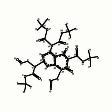 CC(C)(C)OC(=O)N(CC=O)c1nc(N(C(=O)OC(C)(C)C)C(=O)OC(C)(C)C)c2c(=O)n(C(=O)OC(C)(C)C)c(=O)n(CC=O)c2n1